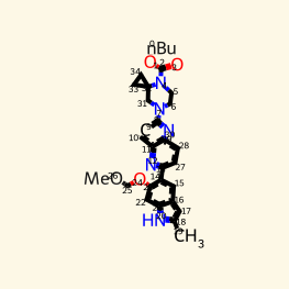 CCCCOC(=O)N1CCN(c2ccc3nc(-c4cc5cc(C)[nH]c5cc4OCOC)ccc3n2)CC12CC2